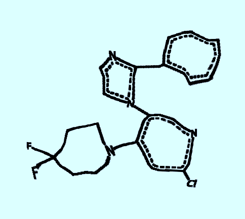 FC1(F)CCN(c2cc(Cl)ncc2-n2ccnc2-c2ccccc2)CC1